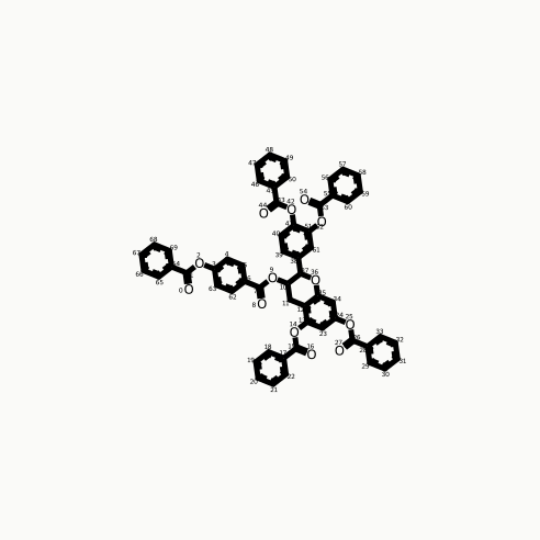 O=C(Oc1ccc(C(=O)OC2Cc3c(OC(=O)c4ccccc4)cc(OC(=O)c4ccccc4)cc3OC2c2ccc(OC(=O)c3ccccc3)c(OC(=O)c3ccccc3)c2)cc1)c1ccccc1